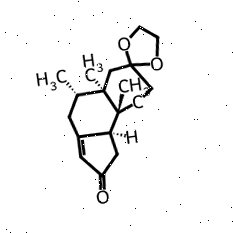 C[C@H]1CC2=CC(=O)C[C@@H]2[C@@]2(C)CCC3(C[C@]12C)OCCO3